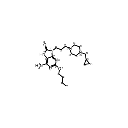 CCCCOc1nc(N)c2[nH]c(=O)n(CCCN3CCN(CC4CC4)CC3)c2n1